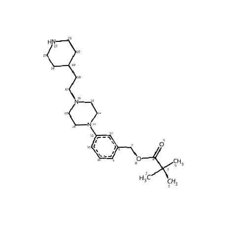 CC(C)(C)C(=O)OCc1cccc(N2CCN(CCC3CCNCC3)CC2)c1